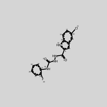 O=C(NNC(=O)c1cc2cc(Cl)ccc2[nH]1)Nc1ccccc1F